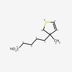 CC1(CCCCC(=O)O)C=CSC1